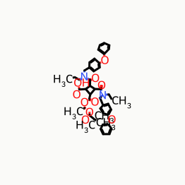 CCCN(Cc1ccc(Oc2ccccc2)cc1)C(=O)C1C(C(=O)O)C(C(=O)OC(C)OC(=O)C(C)(C)C)C1C(=O)N(CCC)Cc1ccc(Oc2ccccc2)cc1